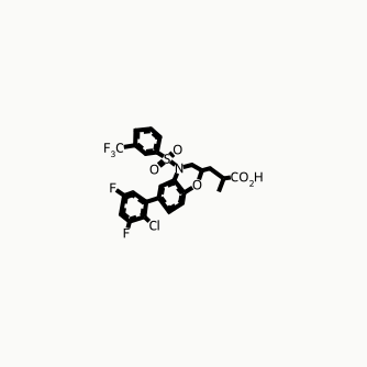 CC(CC1CN(S(=O)(=O)c2cccc(C(F)(F)F)c2)c2cc(-c3cc(F)cc(F)c3Cl)ccc2O1)C(=O)O